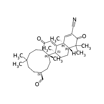 CC1(C)CCC2C(=O)C=C3[C@@]4(C)C=C(C#N)C(=O)C(C)(C)[C@@H]4CC[C@@]3(C)[C@]2(C)CC[C@@H](C=O)CC1